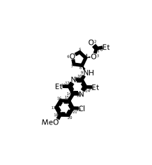 CCC(=O)O[C@H]1COC[C@@H]1Nc1nc(CC)c(-c2ccc(OC)cc2Cl)nc1CC